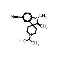 C=C1N(C)c2ccc(C#N)cc2C12CCN(C(C)C)CC2